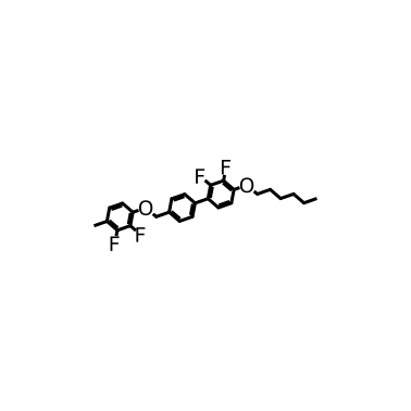 CCCCCCOc1ccc(-c2ccc(COc3ccc(C)c(F)c3F)cc2)c(F)c1F